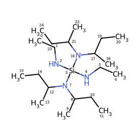 CCN[Si](NCC)(N(C(C)CC)C(C)CC)N(C(C)CC)C(C)CC